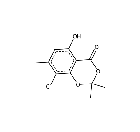 Cc1cc(O)c2c(c1Cl)OC(C)(C)OC2=O